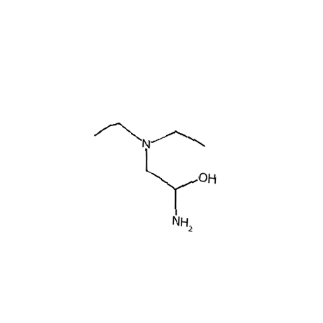 CCN(CC)CC(N)O